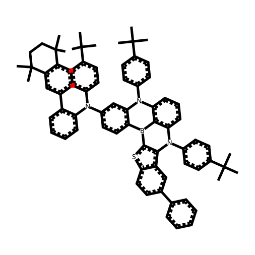 CC(C)(C)c1ccc(N(c2ccc3c(c2)N(c2ccc(C(C)(C)C)cc2)c2cccc4c2B3c2sc3ccc(-c5ccccc5)cc3c2N4c2ccc(C(C)(C)C)cc2)c2ccccc2-c2ccc3c(c2)C(C)(C)CCC3(C)C)cc1